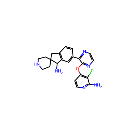 Nc1nccc(Oc2nccnc2-c2ccc3c(c2)C(N)C2(CCNCC2)C3)c1Cl